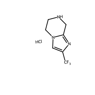 Cl.FC(F)(F)c1cn2c(n1)CNCC2